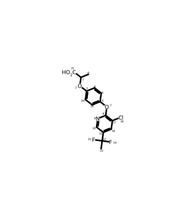 CC(Oc1ccc(Oc2ncc(C(C)(F)F)cc2Cl)cc1)C(=O)O